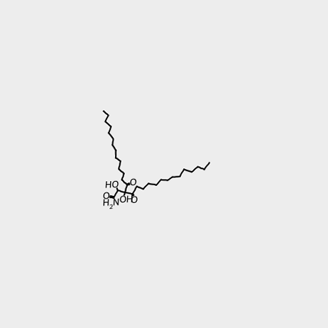 CCCCCCCCCCCCCC(=O)C(O)(C(=O)CCCCCCCCCCCCC)C(O)C(N)=O